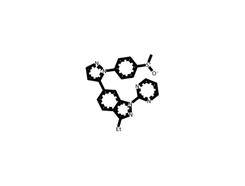 CCc1nn(-c2ncccn2)c2cc(-c3ccnn3-c3ccc([S+](C)[O-])cc3)ccc12